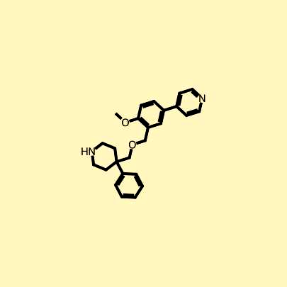 COc1ccc(-c2ccncc2)cc1COCC1(c2ccccc2)CCNCC1